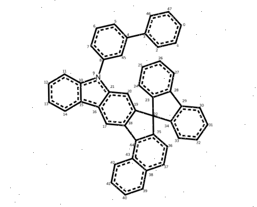 c1ccc(-c2cccc(-n3c4ccccc4c4cc5c(cc43)C3(c4ccccc4-c4ccccc43)c3ccc4ccccc4c3-5)c2)cc1